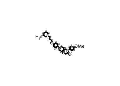 COc1ccc(N2CC3(CCN(c4ccc(OCCCN5CCC[C@H](C)C5)cc4)CC3)OCC2=O)cn1